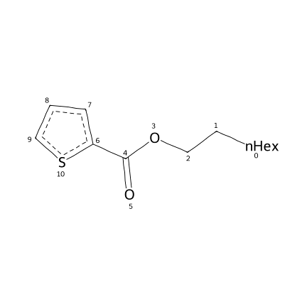 CCCCCCCCOC(=O)c1cccs1